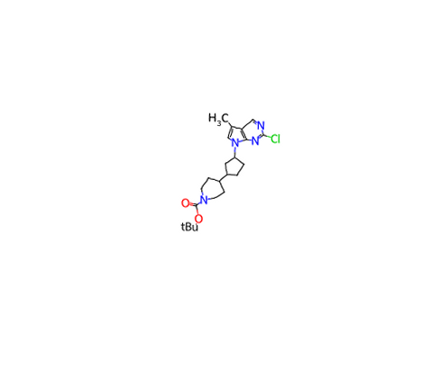 Cc1cn(C2CCC(C3CCN(C(=O)OC(C)(C)C)CC3)C2)c2nc(Cl)ncc12